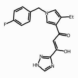 CCc1cn(Cc2ccc(F)cc2)cc1C(=O)C=C(O)c1nc[nH]n1